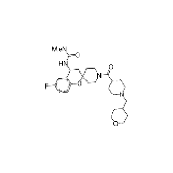 CNC(=O)NC1CC2(CCN(C(=O)C3CCN(CC4CCOCC4)CC3)CC2)Oc2ccc(F)cc21